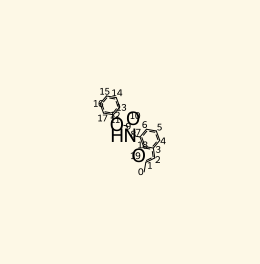 Cc1cc2cccc(NC(=O)Oc3ccccc3)c2o1